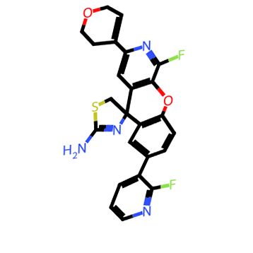 NC1=NC2(CS1)c1cc(-c3cccnc3F)ccc1Oc1c2cc(C2=CCOCC2)nc1F